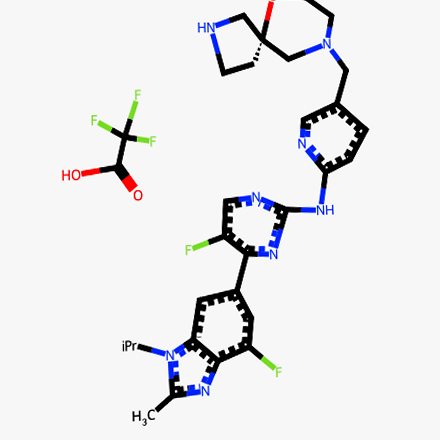 Cc1nc2c(F)cc(-c3nc(Nc4ccc(CN5CCO[C@@]6(CCNC6)C5)cn4)ncc3F)cc2n1C(C)C.O=C(O)C(F)(F)F